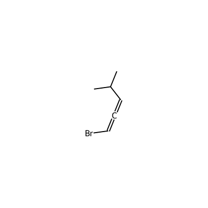 CC(C)C=C=CBr